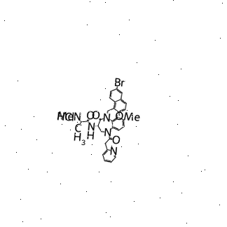 CN[C@@H](C)C(=O)N[C@H]1CN(C(=O)Cc2ccccn2)c2ccccc2N(Cc2c(OC)ccc3cc(Br)ccc23)C1=O.Cl